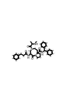 CNC(C)C(=O)N1CCC2(C(=O)NC(c3ccccc3)c3ccccc3)CCCN2C(=O)C(NC(=O)CCc2ccccc2)C1